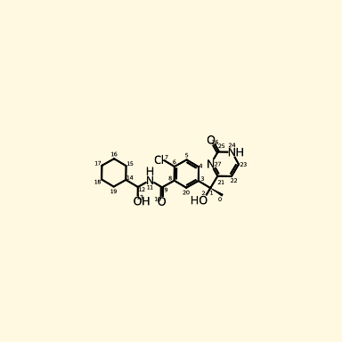 C[C@@](O)(c1ccc(Cl)c(C(=O)NC(O)C2CCCCC2)c1)c1cc[nH]c(=O)n1